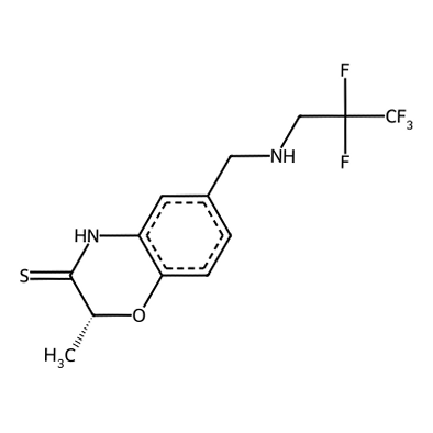 C[C@H]1Oc2ccc(CNCC(F)(F)C(F)(F)F)cc2NC1=S